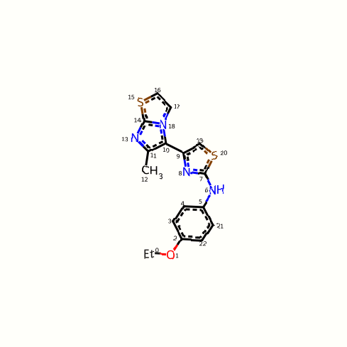 CCOc1ccc(Nc2nc(-c3c(C)nc4sccn34)cs2)cc1